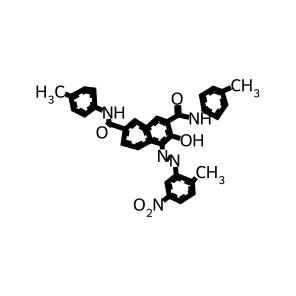 Cc1ccc(NC(=O)c2ccc3c(/N=N/c4cc([N+](=O)[O-])ccc4C)c(O)c(C(=O)Nc4ccc(C)cc4)cc3c2)cc1